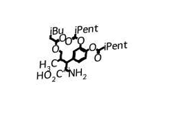 CCCC(C)C(=O)Oc1ccc(C(C(C)COC(=O)CC(C)CC)[C@H](N)C(=O)O)cc1OC(=O)C(C)CCC